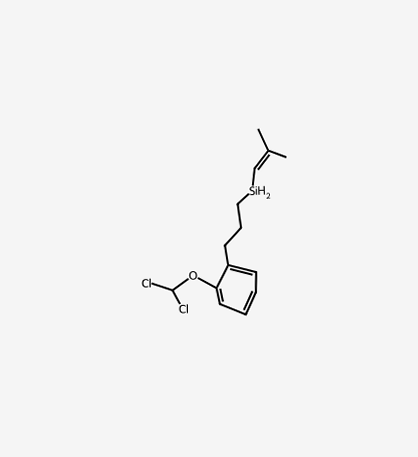 CC(C)=C[SiH2]CCCc1ccccc1OC(Cl)Cl